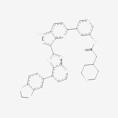 O=C(CC1CCNCC1)Nc1cncc(-c2ccc3[nH]nc(-c4nc5c(-c6ccc7c(c6)OCO7)ccnc5[nH]4)c3n2)c1